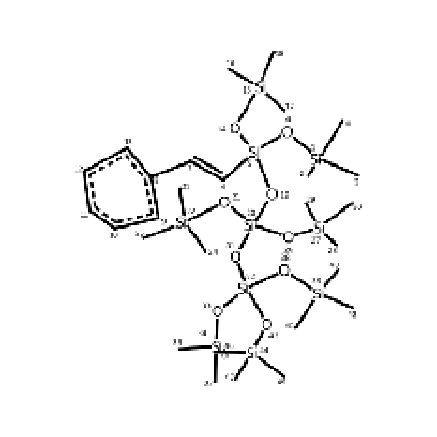 C[Si](C)(C)O[Si](C=Cc1ccccc1)(O[Si](C)(C)C)O[Si](O[Si](C)(C)C)(O[Si](C)(C)C)O[Si](O[Si](C)(C)C)(O[Si](C)(C)C)O[Si](C)(C)C